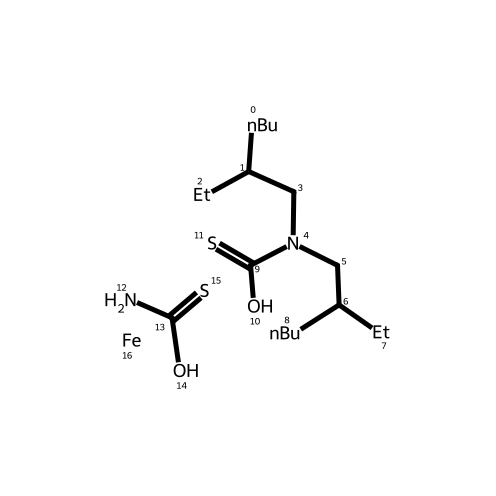 CCCCC(CC)CN(CC(CC)CCCC)C(O)=S.NC(O)=S.[Fe]